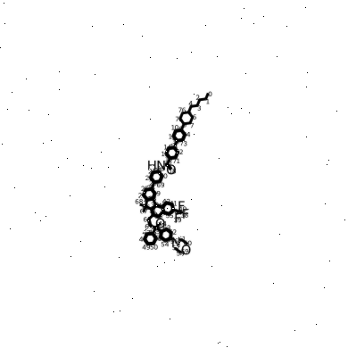 CCCCCC1CCC(c2ccc(-c3ccc(C(=O)Nc4ccc(-c5ccc6c(c5)-c5c(c7c(c8cc(C(F)(F)F)ccc58)OC(c5ccccc5)(c5ccc(N8CCOCC8)cc5)C=C7)C6(C)C)cc4)cc3)cc2)CC1